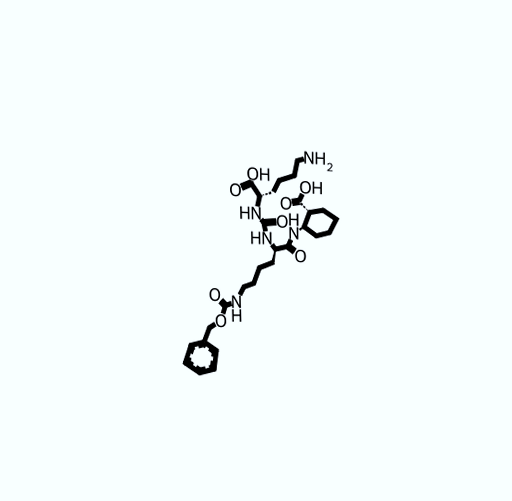 NCCCC[C@H](NC(=O)N[C@H](CCCCNC(=O)OCc1ccccc1)C(=O)N[C@H]1CCCC[C@H]1C(=O)O)C(=O)O